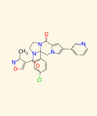 Cc1nocc1C(=O)N1CCN2C(=O)c3cc(-c4cccnc4)cn3CC12c1ccc(Cl)cc1